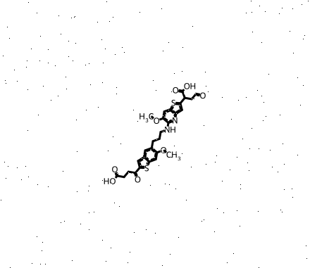 COc1cc2sc(C(=O)CCC(=O)O)cc2cc1CCCNc1nc2cc(C(CC=O)C(=O)O)sc2cc1OC